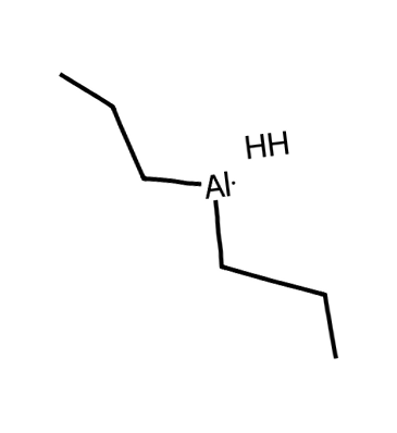 CC[CH2][Al][CH2]CC.[HH]